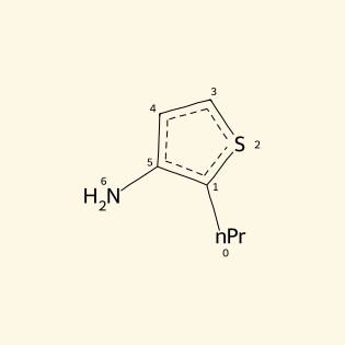 CCCc1sccc1N